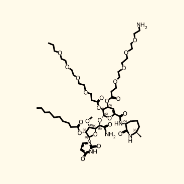 CCCCCCCCCC(=O)O[C@@H]1[C@H](OC)[C@@H]([C@@H](O[C@H]2OC(C(=O)N[C@H]3CCC[C@@H](C)NC3=O)=C[C@H](OC(=O)CCOCCOCCOCCOCCN)[C@@H]2OC(=O)CCOCCOCCOCCOCCC)C(N)=O)O[C@H]1n1ccc(=O)[nH]c1=O